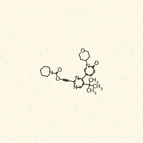 CC(C)(C)c1cnc(C#COC(=O)N2CCCCC2)nc1-c1ccc(=O)n(C2CCOCC2)c1